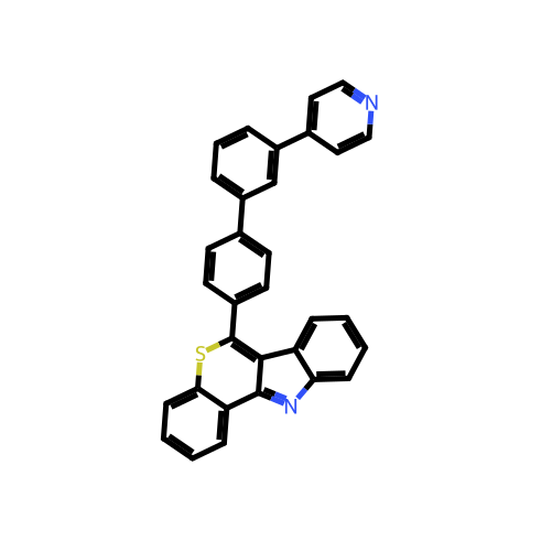 c1cc(-c2ccncc2)cc(-c2ccc(-c3sc4ccccc4c4nc5ccccc5c3-4)cc2)c1